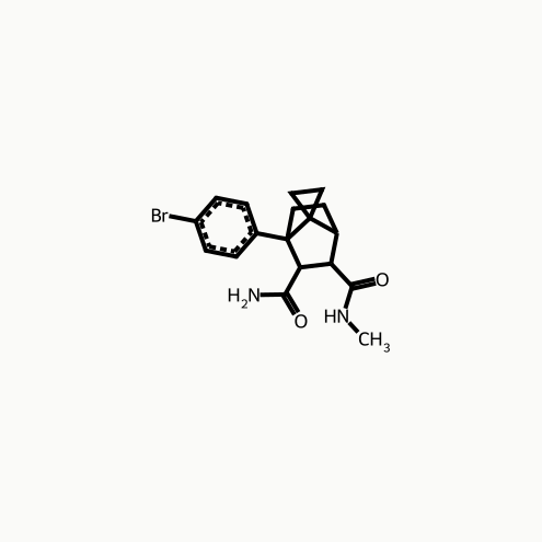 CNC(=O)C1C2CCC(c3ccc(Br)cc3)(C1C(N)=O)C21CC1